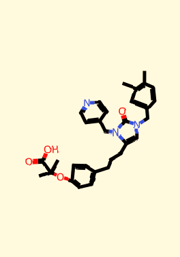 Cc1ccc(Cn2cc(CCCc3ccc(OC(C)(C)C(=O)O)cc3)n(Cc3ccncc3)c2=O)cc1C